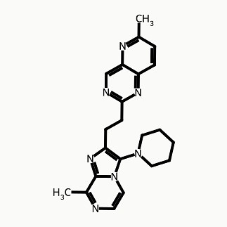 Cc1ccc2nc(CCc3nc4c(C)nccn4c3N3CCCCC3)ncc2n1